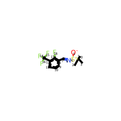 CC(C)(C)[S@+]([O-])N=Cc1cccc(C(F)(F)F)c1F